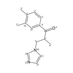 Cc1ccc(C(=O)C(C)Cn2ccnc2)cc1C